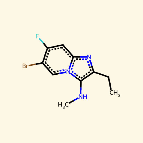 CCc1nc2cc(F)c(Br)cn2c1NC